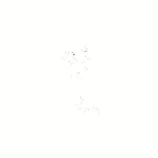 Nc1ncnc2c1ncn2Cc1cc(-c2cc(F)c(OCCCCNc3cccc4c3C(=O)N(C3CCC(=O)NC3=O)C4=O)cc2F)ncc1N1CCC[C@](N)([C@H](O)C(F)F)C1